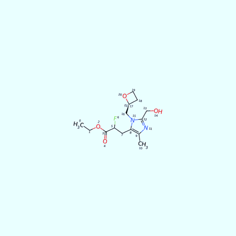 CCOC(=O)C(F)Cc1c(C)nc(CO)n1C[C@@H]1CCO1